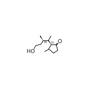 CC1CCC(=O)[C@@H]1C(C)[C@H](C)CCO